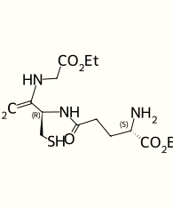 C=C(NCC(=O)OCC)[C@H](CS)NC(=O)CC[C@H](N)C(=O)OCC